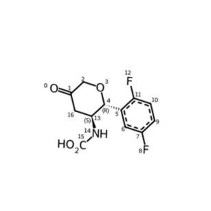 O=C1CO[C@H](c2cc(F)ccc2F)[C@@H](NC(=O)O)C1